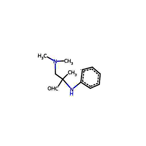 CN(C)CC(C)(C=O)Nc1[c]cccc1